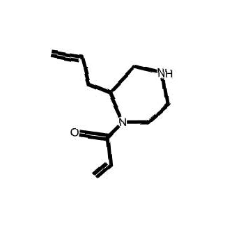 C=CCC1CNCCN1C(=O)C=C